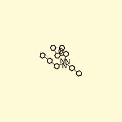 c1ccc(-c2ccc(-c3cccc(-c4nc(-c5ccc(-c6ccccc6)cc5)nc(-c5cccc6oc7c(-c8ccccc8-c8ccccc8)cccc7c56)n4)c3)cc2)cc1